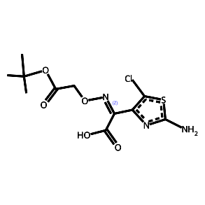 CC(C)(C)OC(=O)CO/N=C(\C(=O)O)c1nc(N)sc1Cl